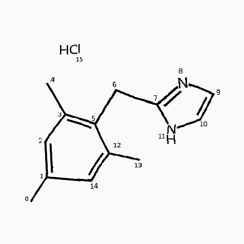 Cc1cc(C)c(Cc2ncc[nH]2)c(C)c1.Cl